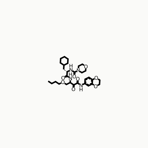 CCCCOCC(NC(=O)[C@H](CC1CCCCC1)NC(=O)N1CCOCC1)C(=O)C(=O)Nc1ccc2c(c1)OCCO2